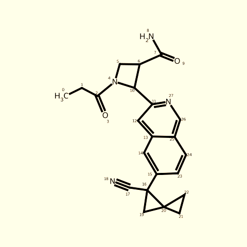 CCC(=O)N1CC(C(N)=O)C1c1cc2cc(C3(C#N)CC34CC4)ccc2cn1